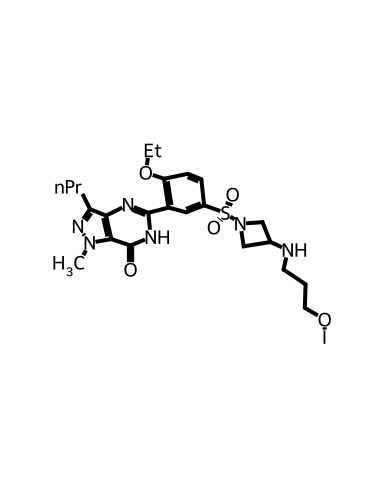 CCCc1nn(C)c2c(=O)[nH]c(-c3cc(S(=O)(=O)N4CC(NCCCOI)C4)ccc3OCC)nc12